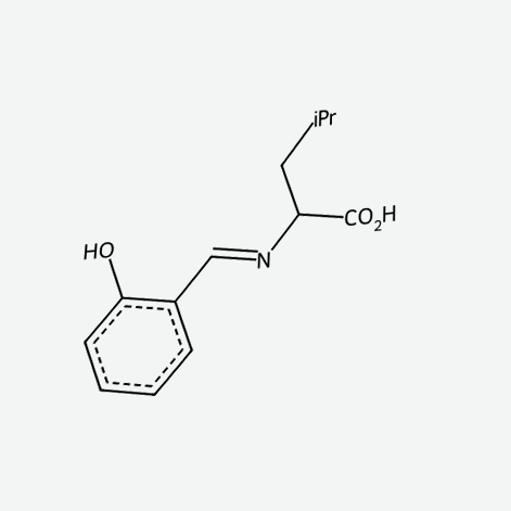 CC(C)CC(N=Cc1ccccc1O)C(=O)O